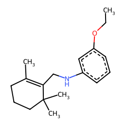 CCOc1cccc(NCC2=C(C)CCCC2(C)C)c1